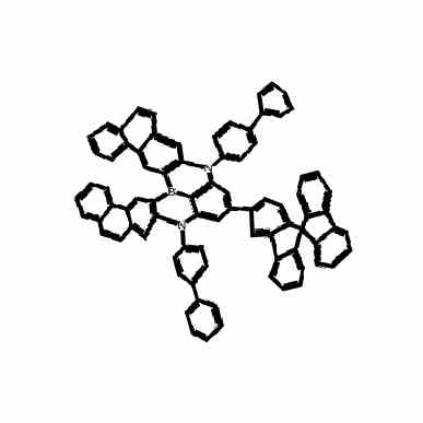 c1ccc(-c2ccc(N3c4cc5ccc6ccccc6c5cc4B4c5cc6c(ccc7ccccc76)cc5N(c5ccc(-c6ccccc6)cc5)c5cc(-c6ccc7c(c6)-c6ccccc6C76c7ccccc7-c7ccccc76)cc3c54)cc2)cc1